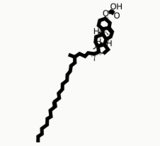 CCCCCCCCC=CCCCCCCCCCC(C)CCC[C@@H](C)[C@H]1CC[C@H]2[C@@H]3CC=C4C[C@@H](OC(=O)O)CC[C@]4(C)[C@H]3CC[C@]12C